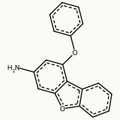 Nc1cc(Oc2ccccc2)c2c(c1)oc1ccccc12